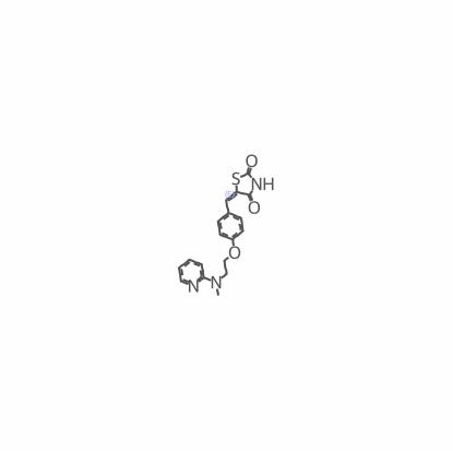 CN(CCOc1ccc(/C=C2/SC(=O)NC2=O)cc1)c1ccccn1